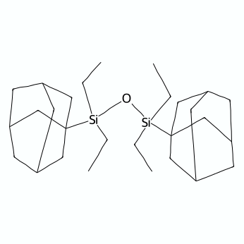 CC[Si](CC)(O[Si](CC)(CC)C12CC3CC(CC(C3)C1)C2)C12CC3CC(CC(C3)C1)C2